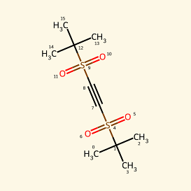 CC(C)(C)S(=O)(=O)C#CS(=O)(=O)C(C)(C)C